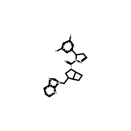 O=C([C@H]1CC(Cn2cnc3cccnc32)C2CCC21)N1N=CCC1c1cc(F)cc(F)c1